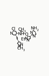 CCn1ncc(-c2nccc(N)n2)c1OCC[C@H](C)Nc1cc(Cl)ncc1C#Cc1cnn(C)c1